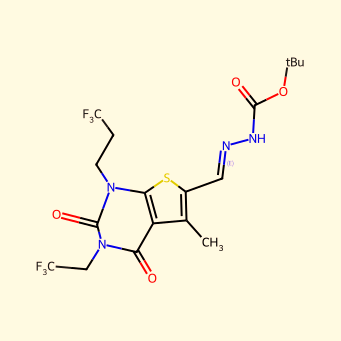 Cc1c(/C=N/NC(=O)OC(C)(C)C)sc2c1c(=O)n(CC(F)(F)F)c(=O)n2CCC(F)(F)F